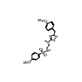 COc1ccc(Cc2nsc(N(C)CCNS(=O)(=O)c3ccc(OC)cc3)n2)cc1